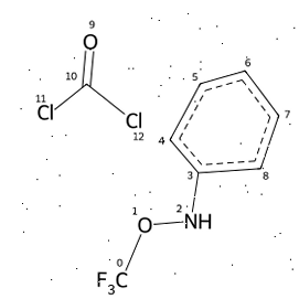 FC(F)(F)ONc1ccccc1.O=C(Cl)Cl